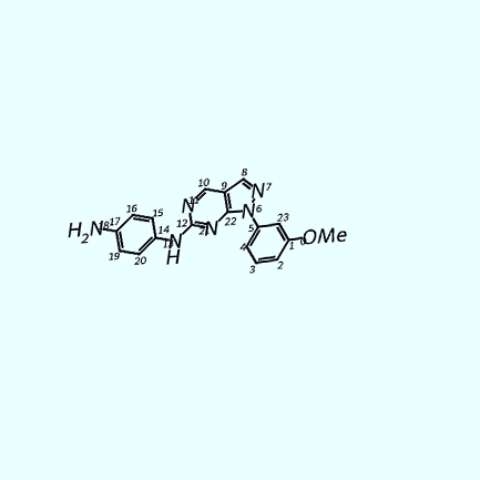 COc1cccc(-n2ncc3cnc(Nc4ccc(N)cc4)nc32)c1